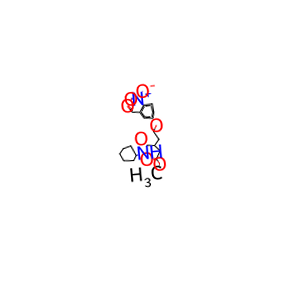 COC(=O)CC(CCOc1ccc([N+](=O)[O-])c(C=O)c1)C(=O)NC1CCCCC1